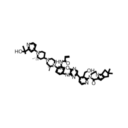 C=CC(=O)Nc1cc(Nc2nc(-c3ccnc(N4CCn5c(cc6c5CC(C)(C)C6)C4=O)c3CO)cnc2OC)ccc1N1CCN(C2CCN(c3ccnc(C(C)(C)O)c3)[C@@H](C)C2)C[C@@H]1C